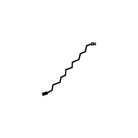 C#CCCCCCCCCCCCCO